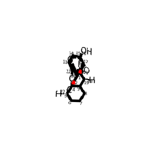 O=C1/C=C\C[C@@H]2CCCC3C2Cc2ccc(O)c4c2[C@H]3[C@H]1O4